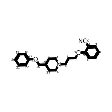 N#Cc1ccccc1OCCCN1CCC(COc2ccccc2)CC1